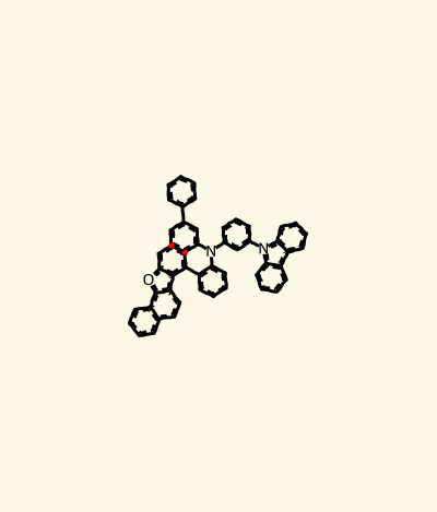 c1ccc(-c2cccc(N(c3cccc(-n4c5ccccc5c5ccccc54)c3)c3ccccc3-c3cccc4oc5c6ccccc6ccc5c34)c2)cc1